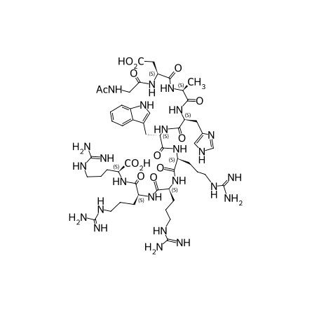 CC(=O)NCC(=O)N[C@@H](CC(=O)O)C(=O)N[C@@H](C)C(=O)N[C@@H](Cc1c[nH]cn1)C(=O)N[C@@H](Cc1c[nH]c2ccccc12)C(=O)N[C@@H](CCCNC(=N)N)C(=O)N[C@@H](CCCNC(=N)N)C(=O)N[C@@H](CCCNC(=N)N)C(=O)N[C@@H](CCCNC(=N)N)C(=O)O